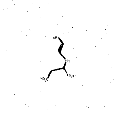 CCCCC=CNC(CC(=O)O)C(=O)O